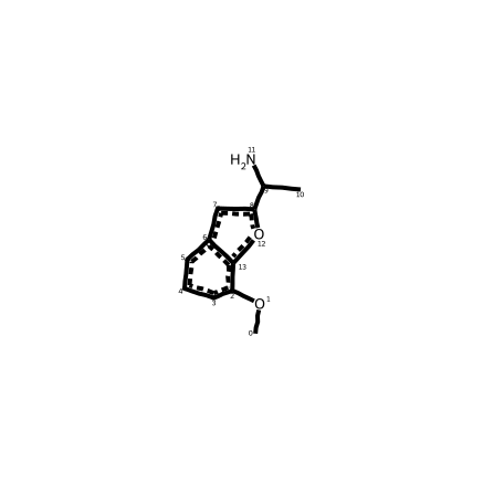 COc1cccc2cc(C(C)N)oc12